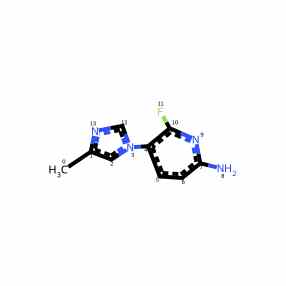 Cc1cn(-c2ccc(N)nc2F)cn1